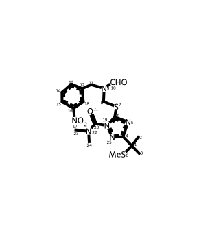 CSC(C)(C)c1nc(SCN(C=O)Cc2cccc([N+](=O)[O-])c2)n(C(=O)N(C)C)n1